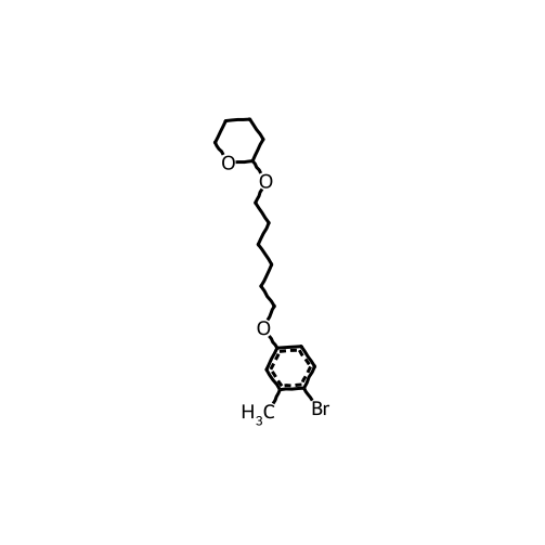 Cc1cc(OCCCCCCOC2CCCCO2)ccc1Br